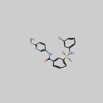 COc1ccc(NC(=O)c2cccc(S(=O)(=O)Nc3cccc(Cl)c3)c2)cn1